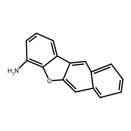 Nc1cccc2c1oc1cc3ccccc3cc12